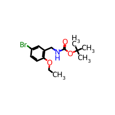 CCOc1ccc(Br)cc1CNC(=O)OC(C)(C)C